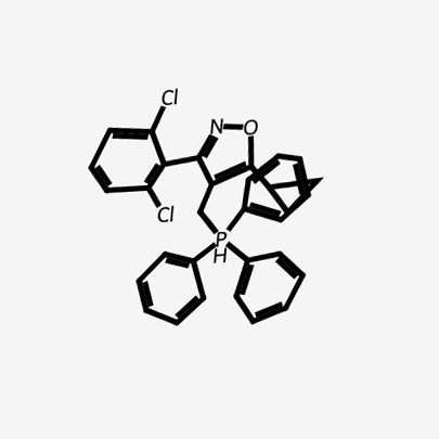 Clc1cccc(Cl)c1-c1noc(C2CC2)c1C[PH](c1ccccc1)(c1ccccc1)c1ccccc1